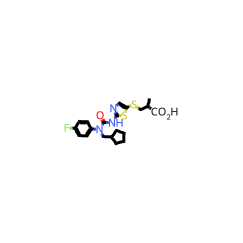 CC(CSc1cnc(NC(=O)N(CC2CCCC2)c2ccc(F)cc2)s1)C(=O)O